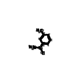 Cc1cccc(N(N)Cl)c1